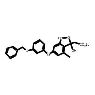 CCOC(=O)CC1(O)OBc2cc(Oc3cccc(OCc4ccccc4)c3)cc(C)c21